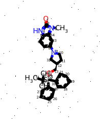 Cn1c(=O)[nH]c2ccc(N3CC[C@@H](CO[Si](c4ccccc4)(c4ccccc4)C(C)(C)C)C3)cc21